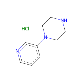 Cl.c1cncc(N2CCNCC2)c1